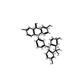 C=C1c2cc(C)ccc2N(c2cccc(N3c4ccc(C)cc4C(C)(C)c4cc(C)ccc43)c2)c2ccc(C)cc21